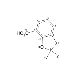 CC1(C)Cc2cccc(C(=O)O)c2O1